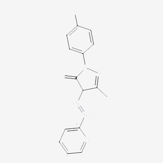 CC1=NN(c2ccc(S(=O)(=O)O)cc2)C(=O)C1/N=N/c1ccccn1